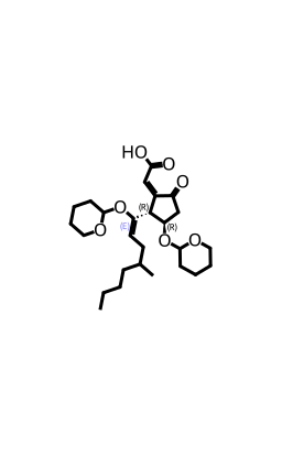 CCCCC(C)C/C=C(/OC1CCCCO1)[C@@H]1C(=CC(=O)O)C(=O)C[C@H]1OC1CCCCO1